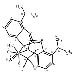 [CH2]=[Zr]([CH3])([Cl])([Cl])([CH]1C=Cc2c(C(C)C)cccc21)([CH]1C=Cc2c(C(C)C)cccc21)[C](F)(F)F